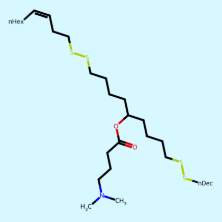 CCCCCC/C=C\CCSSCCCCC(CCCCSSCCCCCCCCCC)OC(=O)CCCN(C)C